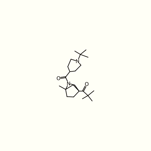 CC(C)(C)C(=O)C12CCC(C)(C1)N(C(=O)C1CCN(C(C)(C)C)CC1)C2